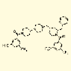 Cc1cc(C)cc(C(=O)N2CCC(N3CCN(CC4CCN(C(=O)c5cc(C(F)(F)F)cc(C(F)(F)F)c5)C(Cc5ccccc5)C4)CC3)CC2)c1